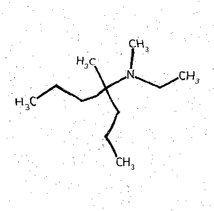 CCCC(C)(CCC)N(C)CC